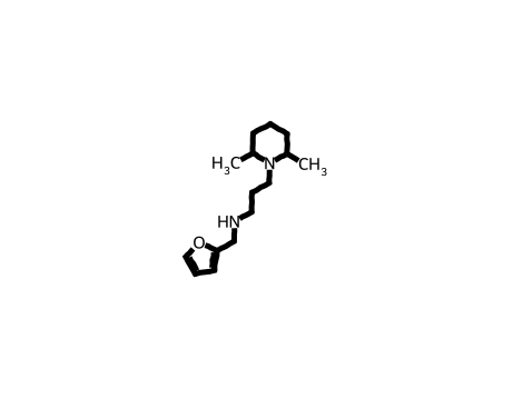 CC1CCCC(C)N1CCCNCc1ccco1